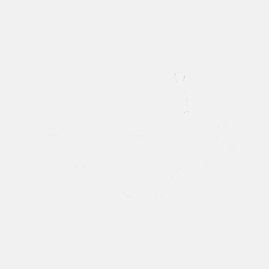 CC(C)Cc1ccc2c(c1)C(=O)C1(C)CC21